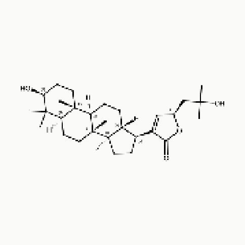 CC(C)(O)C[C@@H]1C=C([C@H]2CC[C@]3(C)[C@@H]2CC[C@@H]2[C@@]4(C)CC[C@H](O)C(C)(C)[C@@H]4CC[C@]23C)C(=O)O1